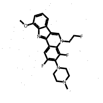 COc1cccc2c3cn(CCF)c4c(F)c(N5CCN(C)CC5)c(F)cc4c-3nc12